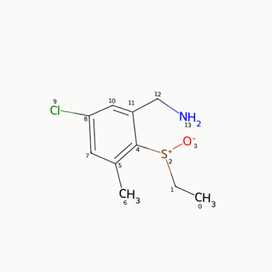 CC[S+]([O-])c1c(C)cc(Cl)cc1CN